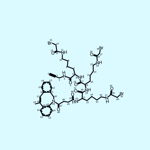 C#CCNC(=O)C(CCCCNC(=O)CBr)NC(=O)C(CCCCNC(=O)CBr)NC(=O)C(CCCCNC(=O)CBr)NC(=O)CCC(=O)N1Cc2ccccc2/C=C(/C)c2ccccc21